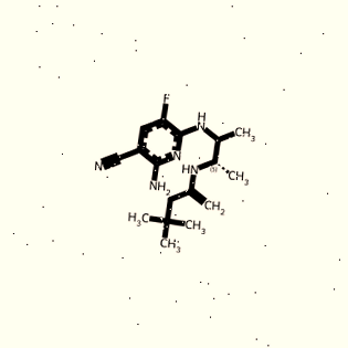 C=C(CC(C)(C)C)N[C@@H](C)C(C)Nc1nc(N)c(C#N)cc1F